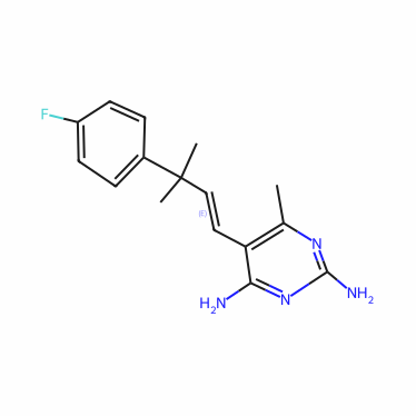 Cc1nc(N)nc(N)c1/C=C/C(C)(C)c1ccc(F)cc1